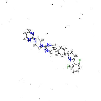 Fc1cccc(F)c1C1=NC(c2ccc(-c3cnc(N4CCN(c5ncccn5)CC4)nc3)cc2)CC1